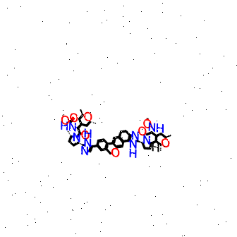 CON[C@@H]1C(=O)N2[C@H](CC[C@H]2c2nc3c([nH]2)-c2cc4c(cc2CC3)-c2ccc(-c3cnc([C@@H]5CC[C@H](C)N5C(=O)[C@@H](NC(=O)OC)C5C[C@@H](C)O[C@H](C)C5)[nH]3)cc2CO4)C2C1C[C@@H](C)O[C@@H]2C